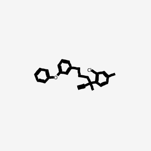 C#CC(C)(CCCc1cccc(Oc2ccccc2)c1)c1ccc(C)cc1Cl